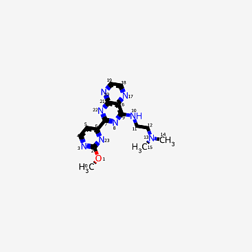 COc1nccc(-c2nc(NCCN(C)C)c3nccnc3n2)n1